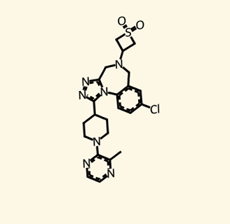 Cc1nccnc1N1CCC(c2nnc3n2-c2ccc(Cl)cc2CN(C2CS(=O)(=O)C2)C3)CC1